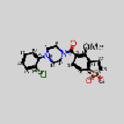 COc1c(C(=O)N2CCN(c3ccccc3Cl)CC2)ccc2c1C=CS2(=O)=O